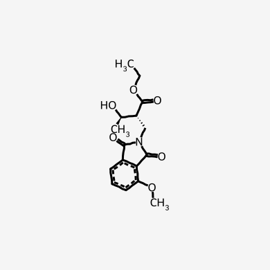 CCOC(=O)[C@H](CN1C(=O)c2cccc(OC)c2C1=O)[C@@H](C)O